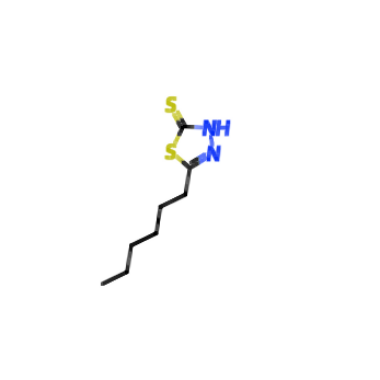 CCCCCCc1n[nH]c(=S)s1